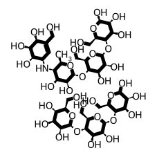 C[C@H]1O[C@H](O[C@H]2[C@H](O)[C@@H](O)[C@@H](O[C@H]3[C@H](O)[C@@H](O)[C@H](O)O[C@@H]3CO)O[C@@H]2CO)[C@H](O)[C@@H](O)[C@@H]1N[C@H]1C=C(CO)[C@H](O)[C@H](O)[C@H]1O.OC[C@H]1O[C@H](O[C@H]2[C@H](O)[C@@H](O)[C@@H](O[C@H]3[C@H](O)[C@@H](O)C(O)O[C@@H]3CO)O[C@@H]2CO)[C@H](O)[C@@H](O)[C@@H]1O